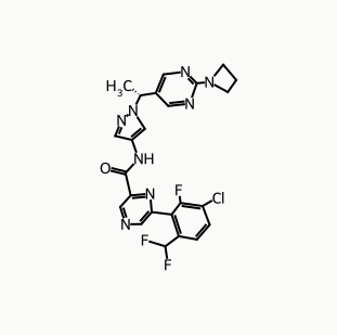 C[C@H](c1cnc(N2CCC2)nc1)n1cc(NC(=O)c2cncc(-c3c(C(F)F)ccc(Cl)c3F)n2)cn1